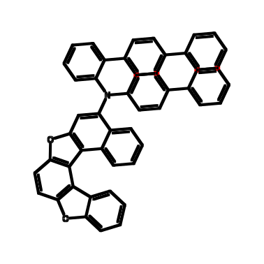 c1ccc(-c2ccc(-c3ccccc3N(c3ccc(-c4ccccc4)cc3)c3cc4oc5ccc6oc7ccccc7c6c5c4c4ccccc34)cc2)cc1